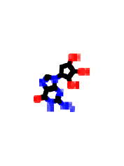 Nc1nc2c(ncn2C2CC(O)C(O)C2O)c(=O)[nH]1